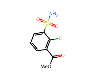 COC(=O)c1cccc(S(N)(=O)=O)c1Cl